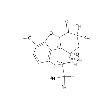 [2H]O[C@@]12CC([2H])([2H])C(=O)C3Oc4c(OC)ccc5c4[C@@]31CCN(C([2H])([2H])[2H])[C@@H]2C5